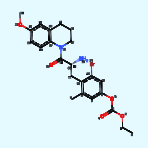 CCOC(=O)Oc1cc(C)c(C[C@@H](N)C(=O)N2CCCc3cc(OC)ccc32)c(Br)c1